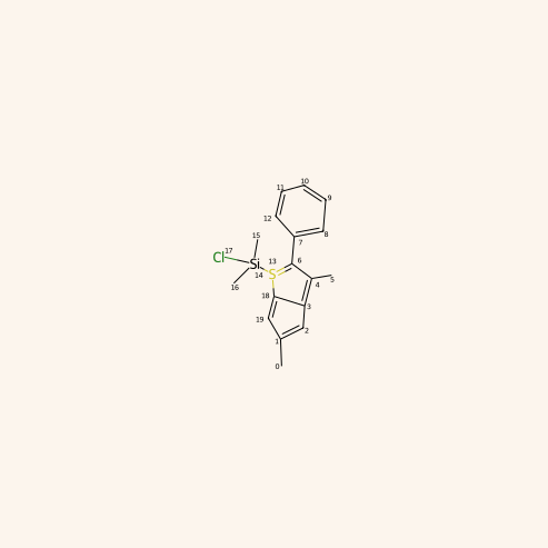 CC1=CC2=C(C)C(c3ccccc3)=S([Si](C)(C)Cl)C2=C1